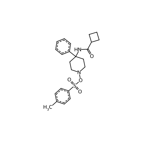 Cc1ccc(S(=O)(=O)ON2CCC(NC(=O)C3CCC3)(c3ccccc3)CC2)cc1